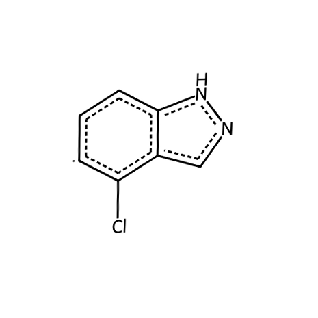 Clc1[c]ccc2[nH]ncc12